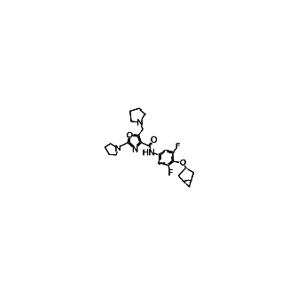 O=C(Nc1cc(F)c(OC2CC3CC3C2)c(F)c1)c1nc(N2CCCC2)oc1CN1CCCC1